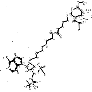 CC(=O)N[C@H]1[C@H](OCCCCC(=O)NCCOCCOCO[C@@H]2[C@H](OC(C)(C)C)[C@@H](COP(=O)(O)C(C)(C)C)O[C@H]2n2cnc3c(N)ncnc32)O[C@H](CO)[C@H](O)[C@@H]1O